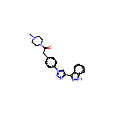 CN1CCN(C(=O)Cc2ccc(-n3cc(-c4n[nH]c5ccccc45)nn3)cc2)CC1